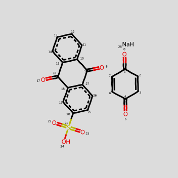 O=C1C=CC(=O)C=C1.O=C1c2ccccc2C(=O)c2cc(S(=O)(=O)O)ccc21.[NaH]